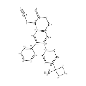 C#CCN1C(=O)COc2nc(-c3ccc(C4(N)CCC4)cc3)c(-c3ccccc3)cc21